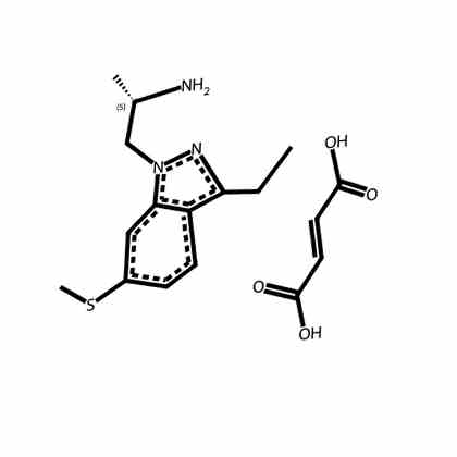 CCc1nn(C[C@H](C)N)c2cc(SC)ccc12.O=C(O)C=CC(=O)O